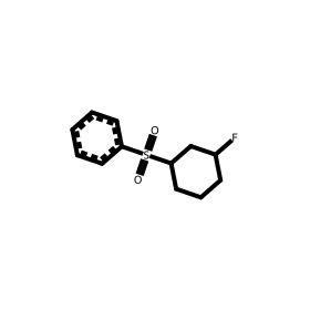 O=S(=O)(c1ccccc1)C1CCCC(F)C1